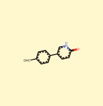 O=Cc1ccc(-c2ccc(=O)[nH]c2)cc1